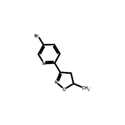 [CH2]C1CC(c2ccc(Br)cn2)=NO1